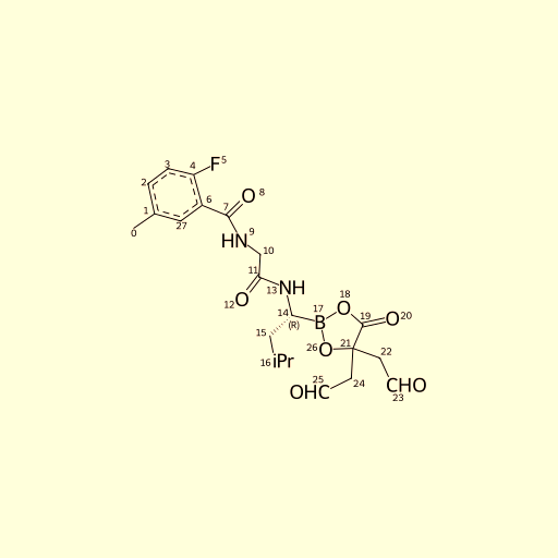 Cc1ccc(F)c(C(=O)NCC(=O)N[C@@H](CC(C)C)B2OC(=O)C(CC=O)(CC=O)O2)c1